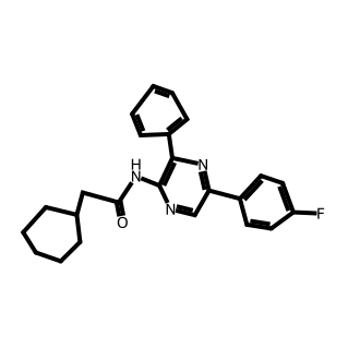 O=C(CC1CCCCC1)Nc1ncc(-c2ccc(F)cc2)nc1-c1ccccc1